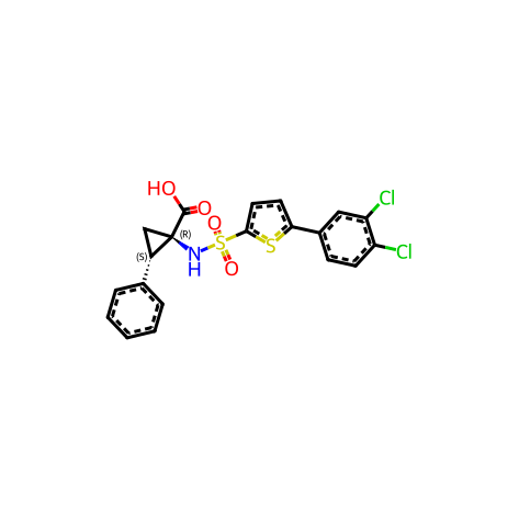 O=C(O)[C@@]1(NS(=O)(=O)c2ccc(-c3ccc(Cl)c(Cl)c3)s2)C[C@H]1c1ccccc1